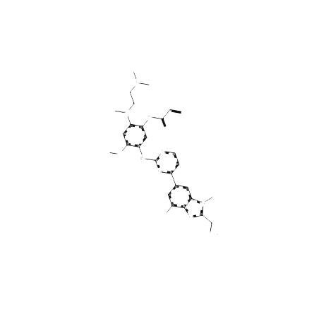 C=CC(=O)Nc1cc(Nc2nccc(-c3cc(F)c4nc(COC)n(C(C)C)c4c3)n2)c(OCC)cc1N(C)CCN(C)C